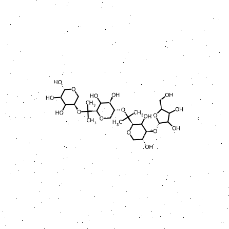 CC(C)(O[C@@H]1CO[C@@H](O)C(O)C1O)[C@@H]1OC[C@@H](OC(C)(C)[C@@H]2OC[C@@H](O)[C@H](O[C@@H]3O[C@@H](CO)C(O)C3O)C2O)[C@H](O)C1O